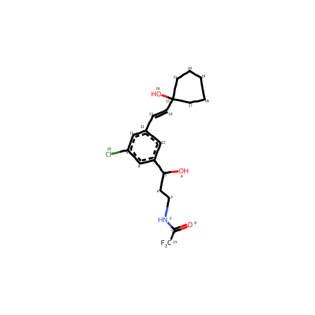 O=C(NCCC(O)c1cc(Cl)cc(C=CC2(O)CCCCC2)c1)C(F)(F)F